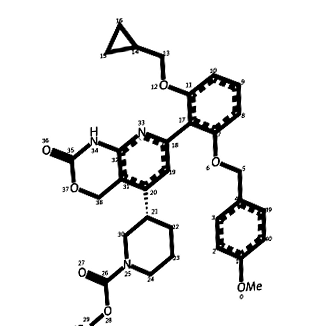 COc1ccc(COc2cccc(OCC3CC3)c2-c2cc([C@@H]3CCCN(C(=O)OC(C)(C)C)C3)c3c(n2)NC(=O)OC3)cc1